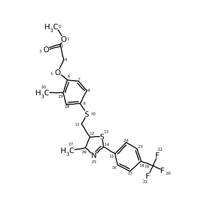 COC(=O)COc1ccc(SCC2SC(c3ccc(C(F)(F)F)cc3)=NC2C)cc1C